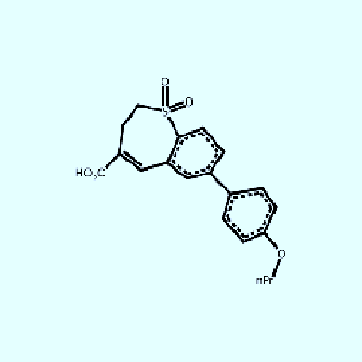 CCCOc1ccc(-c2ccc3c(c2)C=C(C(=O)O)CCS3(=O)=O)cc1